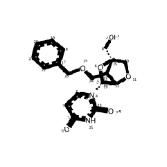 O=c1ccn([C@@H]2O[C@@]3(CO)COC2C3COCc2ccccc2)c(=O)[nH]1